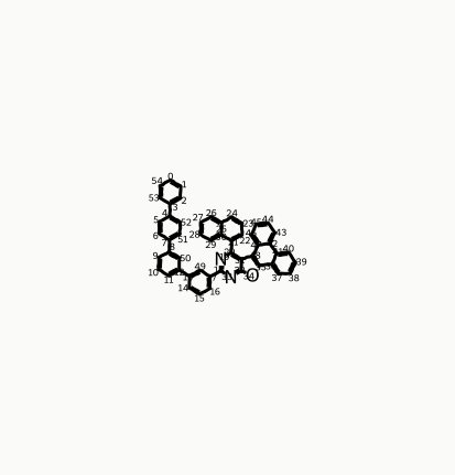 c1ccc(-c2ccc(-c3cccc(-c4cccc(-c5nc(-c6cccc7ccccc67)c6c(n5)oc5c7ccccc7c7ccccc7c56)c4)c3)cc2)cc1